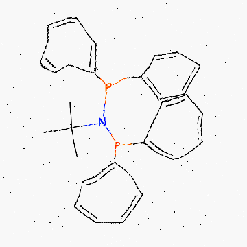 CC(C)(C)N(P(c1ccccc1)c1ccccc1)P(c1ccccc1)c1ccccc1